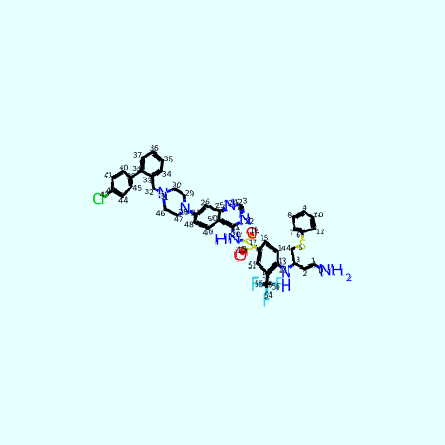 NCCC(CSc1ccccc1)Nc1ccc(S(=O)(=O)Nc2ncnc3cc(N4CCN(Cc5ccccc5-c5ccc(Cl)cc5)CC4)ccc23)cc1C(F)(F)F